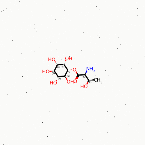 C[C@@H](O)[C@H](N)C(=O)O[C@@H]1[C@@H](O)[C@H](O)[C@@H](O)[C@H](O)[C@@H]1O